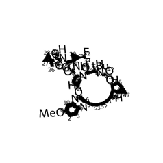 COc1ccc2nc3c(nc2c1)O[C@@H]1C[C@@H](C(=O)N[C@]2(C(=O)NS(=O)(=O)C4(C)CC4)C[C@H]2C(F)F)N(C1)C(=O)[C@H](C(C)(C)C)NC(=O)O[C@@H]1CC2C[C@@H]2[C@H]1CCCCC3